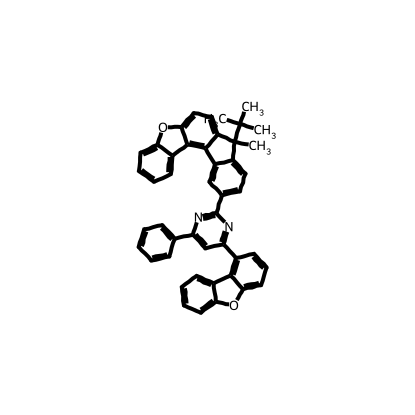 CC(C)(C)C1(C)c2ccc(-c3nc(-c4ccccc4)cc(-c4cccc5oc6ccccc6c45)n3)cc2-c2c1ccc1oc3ccccc3c21